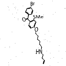 C=CCCNCCCCCCOc1ccc(C(=O)c2ccc(Br)cc2)c(SC)c1